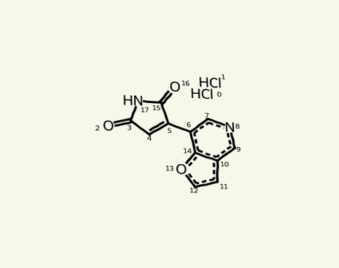 Cl.Cl.O=C1C=C(c2cncc3ccoc23)C(=O)N1